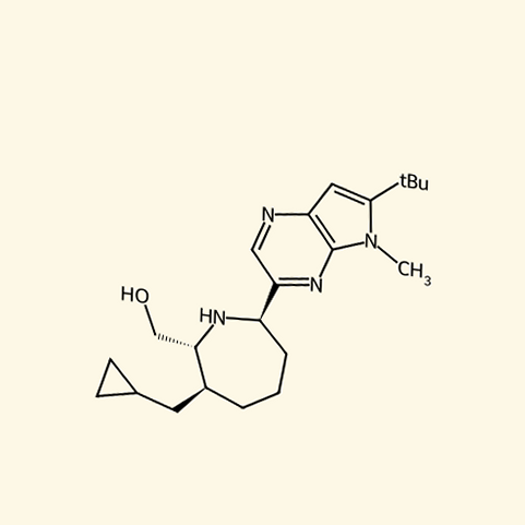 Cn1c(C(C)(C)C)cc2ncc([C@H]3CCC[C@@H](CC4CC4)[C@H](CO)N3)nc21